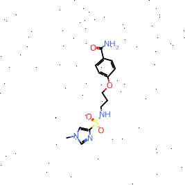 Cn1cnc(S(=O)(=O)NCCCOc2ccc(C(N)=O)cc2)c1